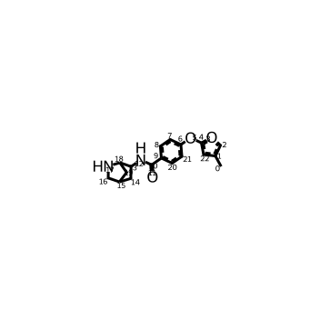 Cc1coc(Oc2ccc(C(=O)NC3CC4CNC3C4)cc2)c1